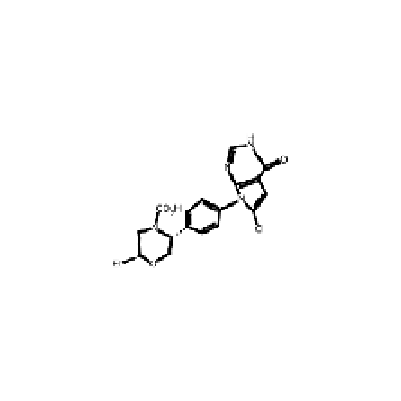 CC[C@H]1CN(C(=O)O)[C@H](c2ccc(-n3c(Cl)cc4c(=O)[nH]cnc43)cc2)CO1